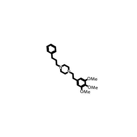 COc1cc(CCN2CCN(CCCc3ccccc3)CC2)cc(OC)c1OC